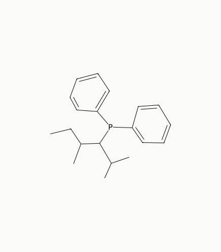 CCC(C)C(C(C)C)P(c1ccccc1)c1ccccc1